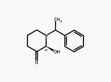 CC(c1ccccc1)N1CCCC(=O)[C@@H]1O